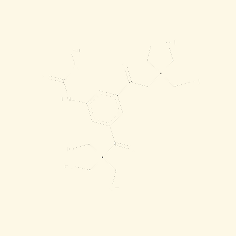 CC(C)(C)OC(=O)Nc1cc(C(=O)CC(CO)(CO)CO)cc(C(=O)C(CO)(CO)CO)c1